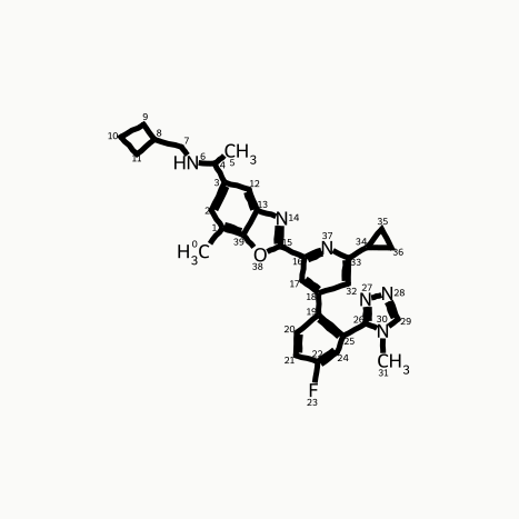 Cc1cc(C(C)NCC2CCC2)cc2nc(-c3cc(-c4ccc(F)cc4-c4nncn4C)cc(C4CC4)n3)oc12